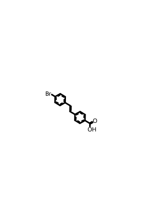 O=C(O)c1ccc(C=Cc2ccc(Br)cc2)cc1